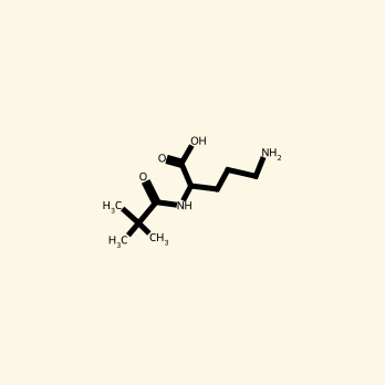 CC(C)(C)C(=O)NC(CCCN)C(=O)O